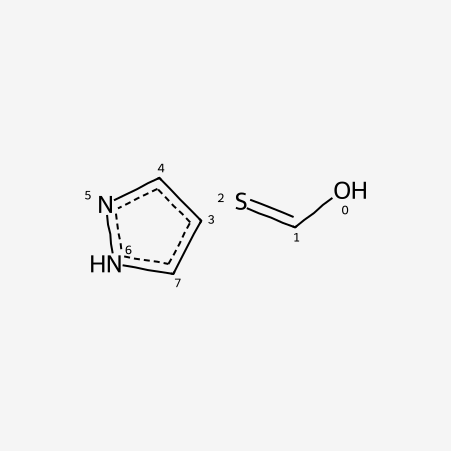 OC=S.c1cn[nH]c1